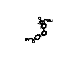 CC(C)CC(=O)N1CCN(c2cccc(-c3ccc4c(n3)n(C)c(=O)n4CC(C)(C)C)c2)CC1